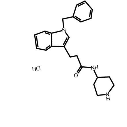 Cl.O=C(CCc1cn(Cc2ccccc2)c2ccccc12)NC1CCNCC1